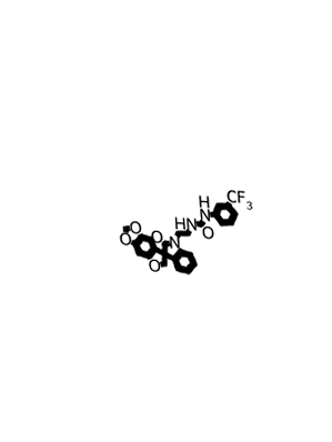 O=C(NCCN1C(=O)C2(COc3cc4c(cc32)OCO4)c2ccccc21)Nc1cccc(C(F)(F)F)c1